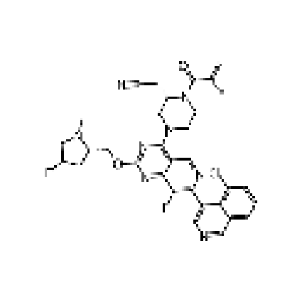 C=C(F)C(=O)N1CCN(c2nc(OC[C@@H]3C[C@@H](F)CN3C)nc3c(F)c(-c4cncc5cccc(Cl)c45)ncc23)C[C@@H]1CC#N